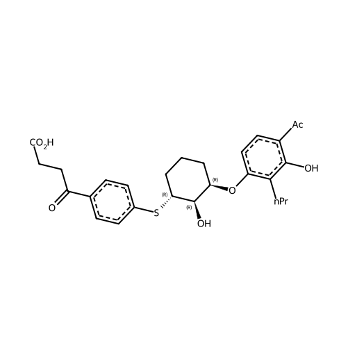 CCCc1c(O[C@@H]2CCC[C@@H](Sc3ccc(C(=O)CCC(=O)O)cc3)[C@@H]2O)ccc(C(C)=O)c1O